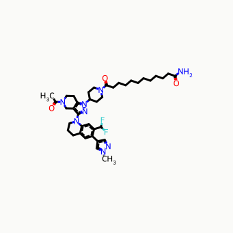 CC(=O)N1CCc2c(c(N3CCCc4cc(-c5cnn(C)c5)c(C(F)F)cc43)nn2C2CCN(C(=O)CCCCCCCCCCC(N)=O)CC2)C1